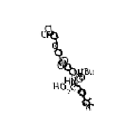 Cc1nccc(-c2ccc(C[C@H](NC(=O)[C@@H]3Cc4cc5c(cc4CN3C(=O)C(C)(C)C)O[C@@H](c3ccc(OCc4ccc(Cl)c(Cl)c4)cc3)CO5)C(=O)O)cc2)c1C